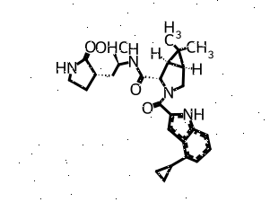 CC1(C)[C@@H]2[C@@H](C(=O)N[C@H](C=O)C[C@@H]3CCNC3=O)N(C(=O)c3cc4c(C5CC5)cccc4[nH]3)C[C@@H]21